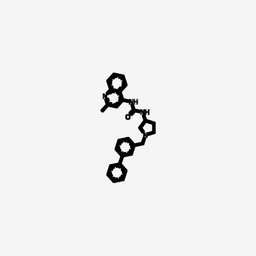 Cc1cc(NC(=O)NC2CCN(Cc3cccc(-c4ccccc4)c3)C2)c2ccccc2n1